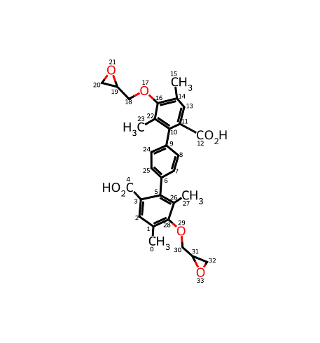 Cc1cc(C(=O)O)c(-c2ccc(-c3c(C(=O)O)cc(C)c(OCC4CO4)c3C)cc2)c(C)c1OCC1CO1